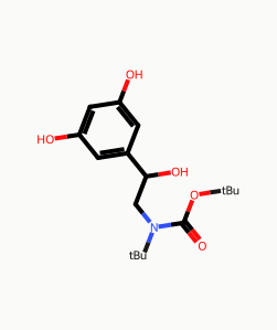 CC(C)(C)OC(=O)N(CC(O)c1cc(O)cc(O)c1)C(C)(C)C